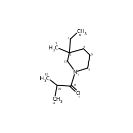 CCC1(C)CCCN(C(=O)C(C)C)C1